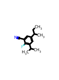 CCC(C)c1[c]c(C(C)C)c(F)c(C#N)c1